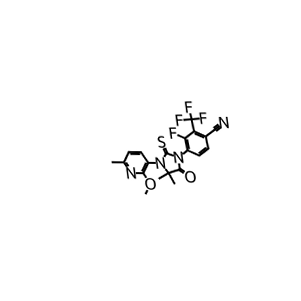 COc1nc(C)ccc1N1C(=S)N(c2ccc(C#N)c(C(F)(F)F)c2F)C(=O)C1(C)C